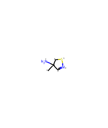 CC1(N)C=NSC1